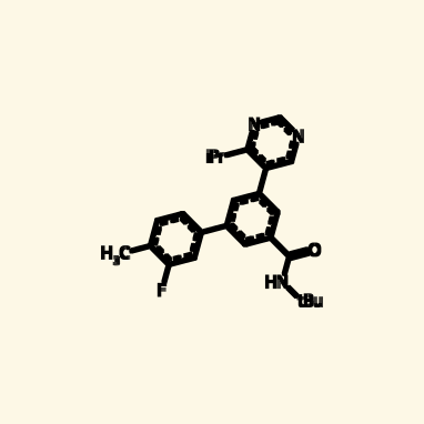 Cc1ccc(-c2cc(C(=O)NC(C)(C)C)cc(-c3cncnc3C(C)C)c2)cc1F